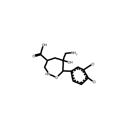 NCC1(O)CC(C(=O)O)CNOC1c1ccc(Cl)c(Cl)c1